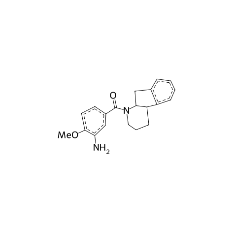 COc1ccc(C(=O)N2CCCC3c4ccccc4CC32)cc1N